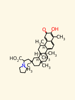 CC1=C(O)C(=O)C=C2C1=CC=C1[C@@]2(C)CC[C@@]2(C)[C@@H]3C[C@](C)(CC(C(=O)O)N4CCCC4)CC[C@@]3(C)CC[C@]12C